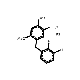 COc1cc(OC)c(C(=O)O)cc1Cc1cccc(Cl)c1F.Cl